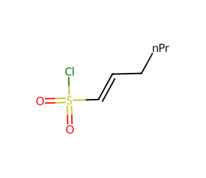 CCCCC=CS(=O)(=O)Cl